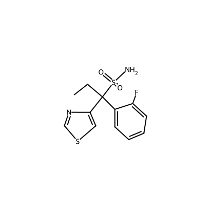 CCC(c1cscn1)(c1ccccc1F)S(N)(=O)=O